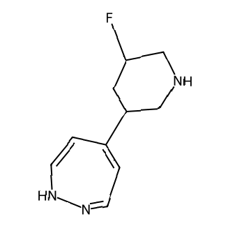 FC1CNCC(C2=CC=NNC=C2)C1